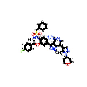 C[C@H](Oc1cc(-c2nn(C)c3c(-c4cnn(C5CCOCC5)c4)cnc(N)c23)ccc1NS(=O)(=O)Cc1ccccc1)c1ccc(F)cc1